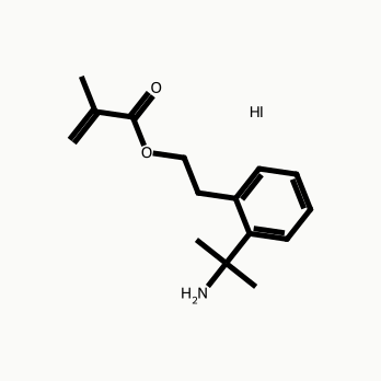 C=C(C)C(=O)OCCc1ccccc1C(C)(C)N.I